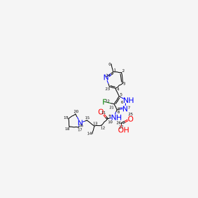 Cc1ccc(-c2[nH]nc(NC(=O)CC(C)CN3CCCC3)c2F)cn1.O=CO